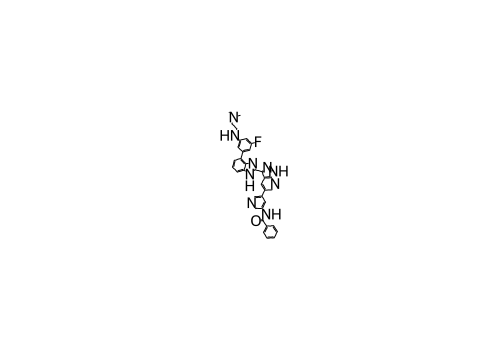 CN(C)CCNc1cc(F)cc(-c2cccc3[nH]c(-c4n[nH]c5ncc(-c6cncc(NC(=O)c7ccccc7)c6)cc45)nc23)c1